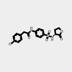 O=C(Cc1ccc(Cl)cc1)Nc1ccc(S(=O)(=O)N[C@H]2CCOC2=O)cc1